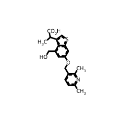 Cc1ccc(COc2cc(CO)c3c(C(C)C(=O)O)csc3c2)c(C)n1